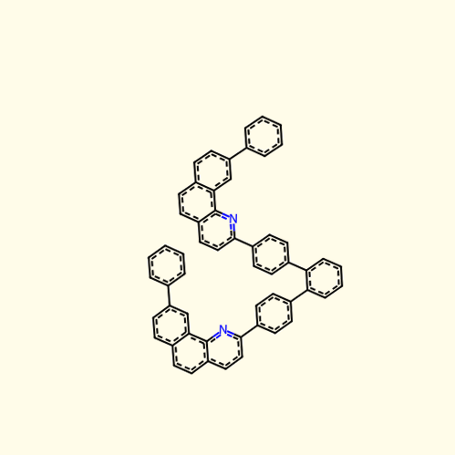 c1ccc(-c2ccc3ccc4ccc(-c5ccc(-c6ccccc6-c6ccc(-c7ccc8ccc9ccc(-c%10ccccc%10)cc9c8n7)cc6)cc5)nc4c3c2)cc1